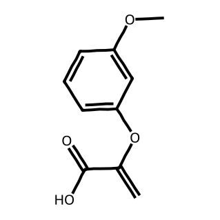 C=C(Oc1cccc(OC)c1)C(=O)O